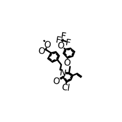 C=Cc1cc(Cl)c(=O)n(CCc2ccc(C(=O)OC)cc2)c1COc1cccc(OC(F)(F)F)c1